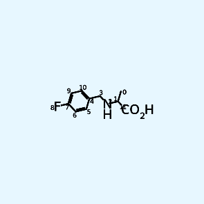 CC(NCc1ccc(F)cc1)C(=O)O